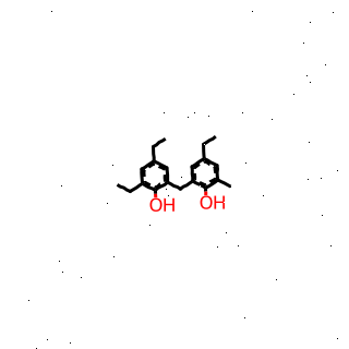 CCc1cc(C)c(O)c(Cc2cc(CC)cc(CC)c2O)c1